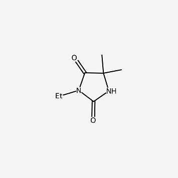 [CH2]CN1C(=O)NC(C)(C)C1=O